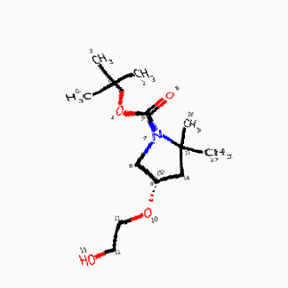 CC(C)(C)OC(=O)N1C[C@@H](OCCO)CC1(C)C